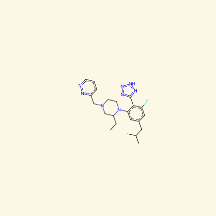 CCC1CN(Cc2cccnn2)CCN1c1cc(CC(C)C)cc(F)c1-c1nn[nH]n1